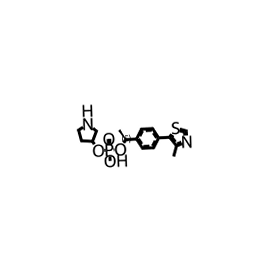 Cc1ncsc1-c1ccc([C@H](C)OP(=O)(O)OC2CCNC2)cc1